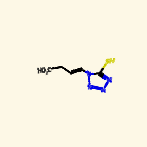 O=C(O)C/C=C/n1nnnc1S